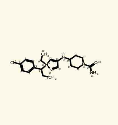 CCC(c1ccc(Cl)cc1)[N+]1(CC)C=C(NC2CCN(C(N)=O)CC2)C=N1